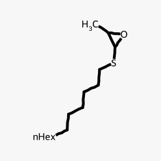 CCCCCCCCCCCCSC1OC1C